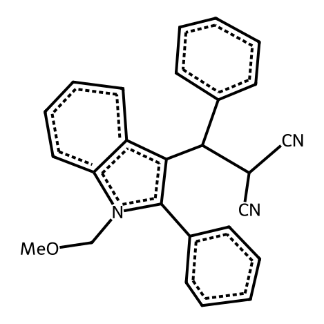 COCn1c(-c2ccccc2)c(C(c2ccccc2)C(C#N)C#N)c2ccccc21